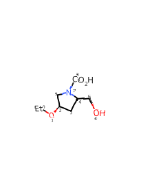 CCO[C@@H]1CC(CO)N(C(=O)O)C1